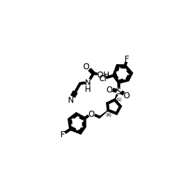 N#CCNC(=O)O.O=S(=O)(c1ccc(F)cc1Cl)[C@H]1CC[C@@H](COc2ccc(F)cc2)C1